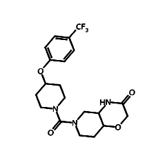 O=C1COC2CCN(C(=O)N3CCC(Oc4ccc(C(F)(F)F)cc4)CC3)CC2N1